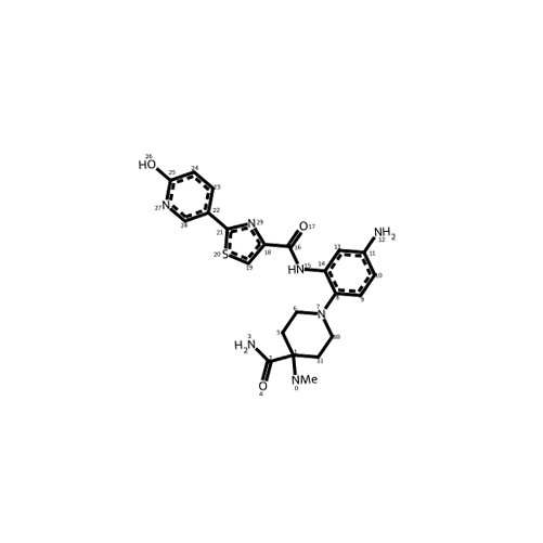 CNC1(C(N)=O)CCN(c2ccc(N)cc2NC(=O)c2csc(-c3ccc(O)nc3)n2)CC1